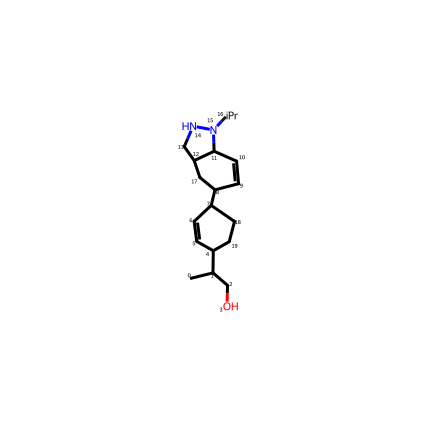 CC(CO)C1C=CC(C2C=CC3C(CNN3C(C)C)C2)CC1